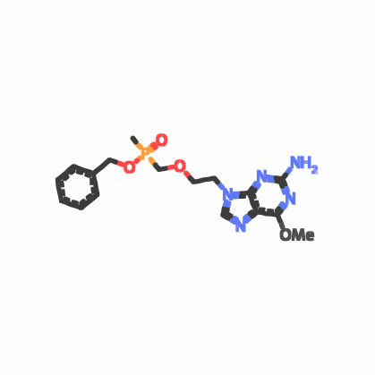 COc1nc(N)nc2c1ncn2CCOCP(C)(=O)OCc1ccccc1